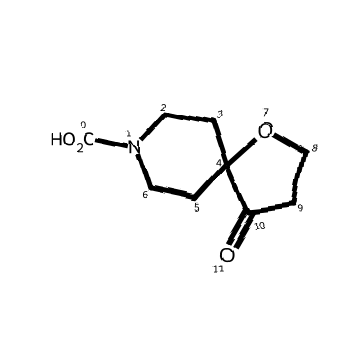 O=C(O)N1CCC2(CC1)OCCC2=O